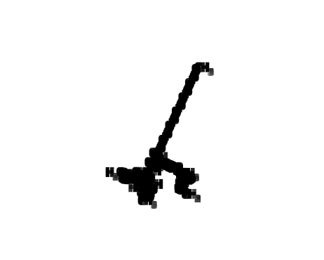 C=Cc1ccccc1CN(C(=O)CCCCC(=O)N1CCC2(CCC(C(=O)NC(CNC(=O)CCOCCOCCOCCOCCOCCOCCOCCOCCOCCOCCOCCOC)C(=O)NCCNC(=O)C3(O)Cc4c(O)c5c(c(O)c4C(OC4CC6C(OC7C(OC)OCCN67)C(C)O4)C3)C(=O)c3c(OC)cccc3C5=O)CC2)CC1)c1ccccc1CC